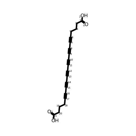 O=C(O)CCCC#CC#CC#CC#CC#CC#CCCCC(=O)O